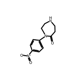 O=C1CCNCCN1c1ccc([N+](=O)[O-])cc1